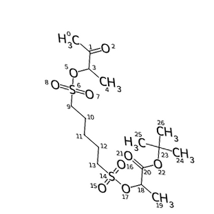 CC(=O)C(C)OS(=O)(=O)CCCCCS(=O)(=O)OC(C)C(=O)OC(C)(C)C